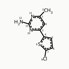 Cc1cc(-c2ccc(Cl)s2)nc(N)n1